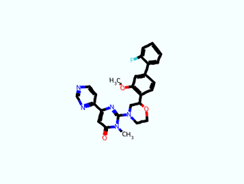 COc1cc(-c2ccccc2F)ccc1C1CN(c2nc(-c3ccncn3)cc(=O)n2C)CCO1